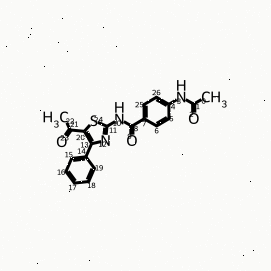 CC(=O)Nc1ccc(C(=O)Nc2nc(-c3ccccc3)c(C(C)=O)s2)cc1